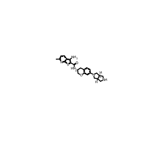 Cc1ccc2c(N)c(C(=O)N[C@H]3COc4cc(N5C[C@H]6CNC[C@@H]6C5)ccc4C3)sc2n1